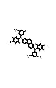 Cc1cc(N(c2ccc3c(ccc4cc(N(c5cc(C(F)(F)F)cc(C(F)(F)F)c5)c5c(F)c(F)c(C(F)(F)F)c(F)c5F)ccc43)c2)c2c(F)c(F)c(C(F)(F)F)c(F)c2F)cc(C(F)(F)F)c1